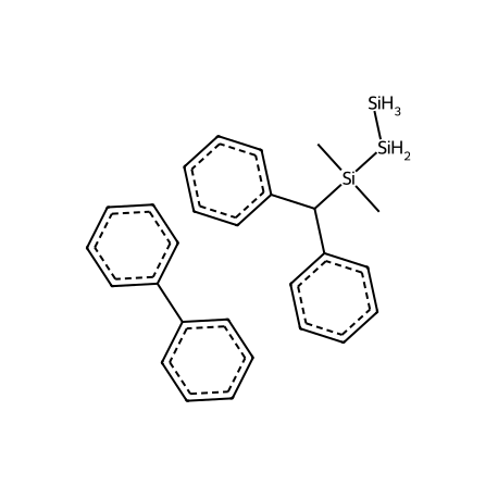 C[Si](C)([SiH2][SiH3])C(c1ccccc1)c1ccccc1.c1ccc(-c2ccccc2)cc1